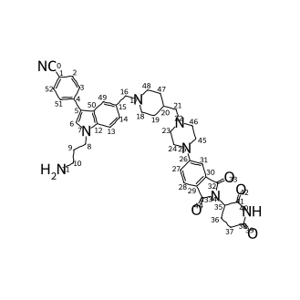 N#Cc1ccc(-c2cn(CCCN)c3ccc(CN4CCC(CN5CCN(c6ccc7c(c6)C(=O)N(C6CCC(=O)NC6=O)C7=O)CC5)CC4)cc23)cc1